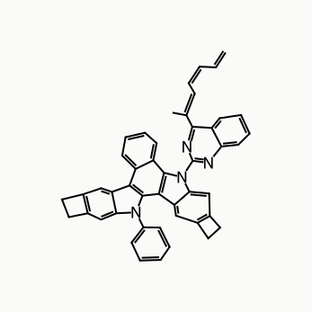 C=C/C=C\C=C(/C)c1nc(-n2c3cc4c(cc3c3c2c2ccccc2c2c5cc6c(cc5n(-c5ccccc5)c23)CC6)CC4)nc2ccccc12